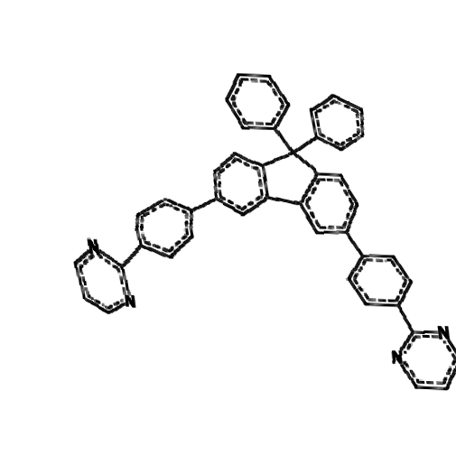 c1ccc(C2(c3ccccc3)c3ccc(-c4ccc(-c5ncccn5)cc4)cc3-c3cc(-c4ccc(-c5ncccn5)cc4)ccc32)cc1